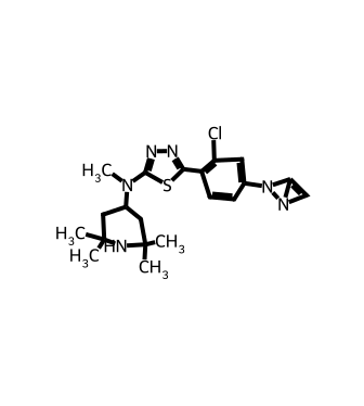 CN(c1nnc(-c2ccc(-n3c4cn3-4)cc2Cl)s1)C1CC(C)(C)NC(C)(C)C1